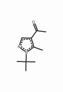 CC(=O)c1cnn(C(C)(C)C)c1C